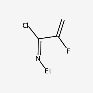 C=C(F)/C(Cl)=N\CC